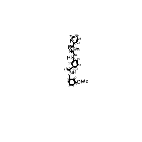 COc1cccc(CNC(=O)c2cccc(NCc3nnc(-c4ccncn4)n3C)c2)c1